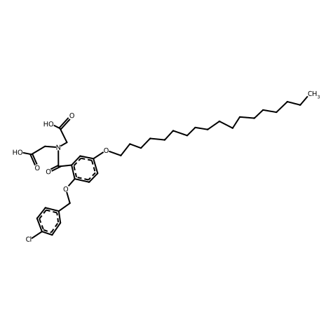 CCCCCCCCCCCCCCCCCCOc1ccc(OCc2ccc(Cl)cc2)c(C(=O)N(CC(=O)O)CC(=O)O)c1